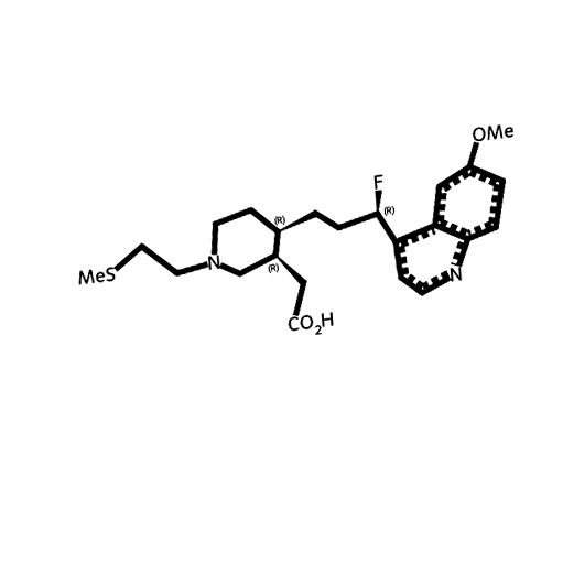 COc1ccc2nccc([C@H](F)CC[C@@H]3CCN(CCSC)C[C@@H]3CC(=O)O)c2c1